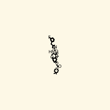 CN1C(=O)[C@@H](NC(=O)n2cc(Cc3cccc(F)c3)cn2)COc2ccc(OCC(=O)N3CCC(C)(C)CC3)cc21